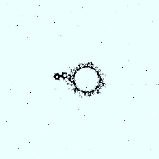 CC(C)C[C@@H]1C(=O)N[C@H](CC(C)C)C(=O)N(C)[C@H](C(C)C)C(=O)N(C)[C@H]([C@H](O)[C@H](C)CCN2CCC(c3ccccc3)CC2)C(=O)N[C@H]([C@@H](C)O)C(=O)N(C)CC(=O)N(C)[C@@H](CC(C)C)C(=O)N[C@H](CC(C)C)C(=O)N(C)[C@H](CC(C)C)C(=O)N[C@H](C)C(=O)O[C@@H](C(C)C)C(=O)N1C